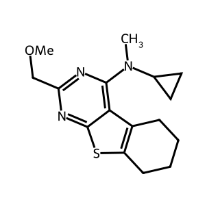 COCc1nc(N(C)C2CC2)c2c3c(sc2n1)CCCC3